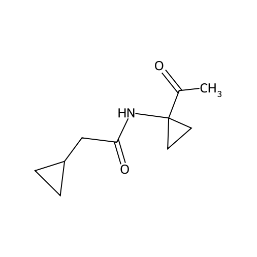 CC(=O)C1(NC(=O)CC2CC2)CC1